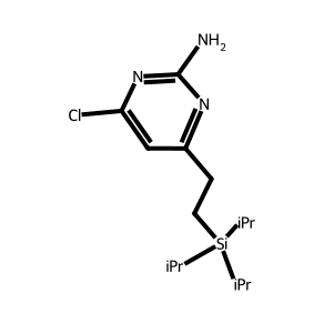 CC(C)[Si](CCc1cc(Cl)nc(N)n1)(C(C)C)C(C)C